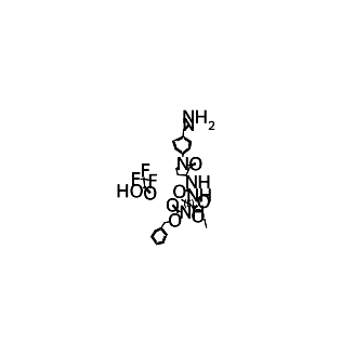 CCOC(=O)[C@@](C)(NC(=O)NC1CCN(c2ccc(C=NN)cc2)C1=O)NC(=O)OCc1ccccc1.O=C(O)C(F)(F)F